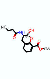 CCCCOC(=O)C1=CCCC2=C1OB(O)[C@@H](NC(=O)CCC#N)C2